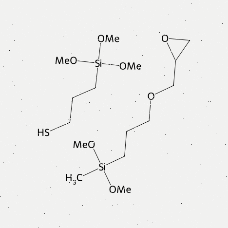 CO[Si](C)(CCCOCC1CO1)OC.CO[Si](CCCS)(OC)OC